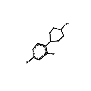 CCCC1CCC(c2ccc(Br)cc2F)CC1